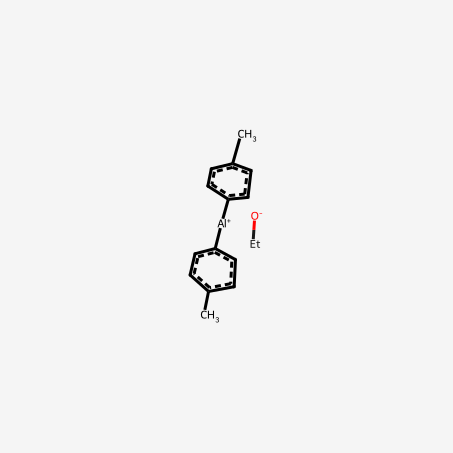 CC[O-].Cc1cc[c]([Al+][c]2ccc(C)cc2)cc1